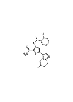 CC(Oc1cc(-c2cnc3n2C=C(F)CC3)sc1C(N)=O)c1ccccc1Cl